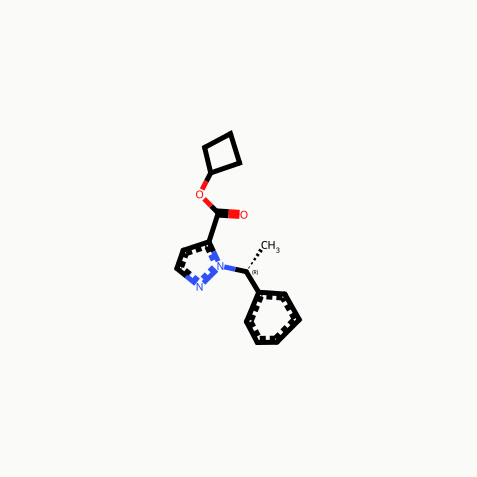 C[C@H](c1ccccc1)n1nccc1C(=O)OC1CCC1